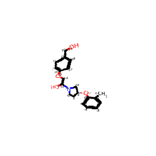 Cc1ccccc1O[C@@H]1CCN(C(O)COc2ccc(CO)cc2)C1